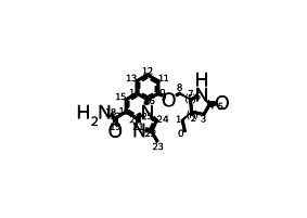 CC[C@@H]1CC(=O)N[C@@H]1COc1cccc2cc(C(N)=O)c3nc(C)cn3c12